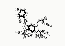 CCCCCCN(CC(CC)CCCC)c1cc(NP(=O)(O)O)c(/N=N/c2ccc(C#N)cc2Br)cc1OCC(CC)CCCC